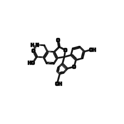 NCc1c(C(=O)O)ccc2c1C(=O)OC21c2ccc(O)cc2Oc2cc(O)ccc21